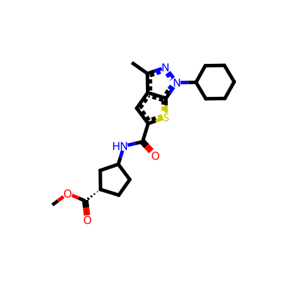 COC(=O)[C@H]1CCC(NC(=O)c2cc3c(C)nn(C4CCCCC4)c3s2)C1